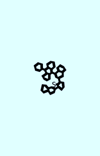 c1ccc(-c2c3ccccc3c(-c3cc(-c4cccc5c4sc4c6ccccc6ccc54)cc4ccccc34)c3ccccc23)cc1